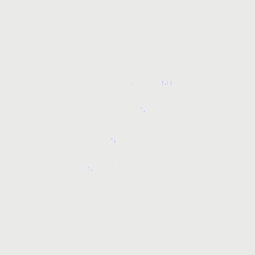 CCc1cc(N)ccc1N1CCC(C2CCN(c3ccc(N)cc3CC)CC2)CC1